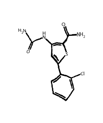 NC(=O)Nc1cc(-c2ccccc2Cl)sc1C(N)=O